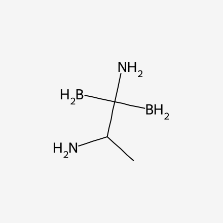 BC(B)(N)C(C)N